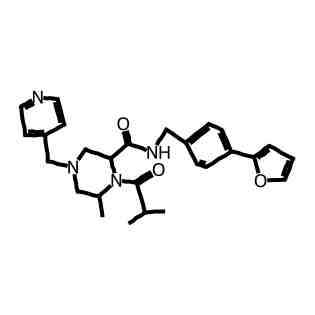 CC(C)C(=O)N1C(C)CN(Cc2ccncc2)CC1C(=O)NCc1ccc(-c2ccco2)cc1